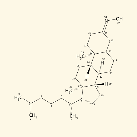 CC(C)CCC[C@@H](C)[C@H]1CC[C@H]2[C@@H]3CCC4C/C(=N\O)CC[C@]4(C)[C@H]3CC[C@]12C